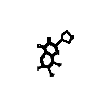 O=c1[nH]c(C2CCOC2)nc2c(F)c(Br)c(I)cc12